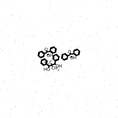 CC(C)(C(O)c1ccccc1)C(O)c1ccccc1.O=P(O)(c1ccccc1)c1ccccc1.O=P(O)(c1ccccc1)c1ccccc1